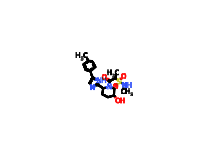 CNS(=O)(=O)C(C)C(=O)N1CC(O)CCC1c1ncc(-c2ccc(C)cc2)[nH]1